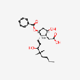 CCCCC(C)(C)C(O)C=C[C@H]1[C@H](CC(=O)O)[C@H](O)C[C@@H]1OC(=O)c1ccccc1